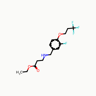 CCOC(=O)CCNCc1ccc(OCCC(F)(F)F)c(F)c1